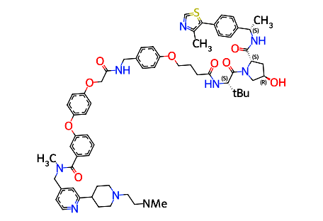 CNCCN1CCC(c2cc(CN(C)C(=O)c3cccc(Oc4ccc(OCC(=O)NCc5ccc(OCCCC(=O)N[C@H](C(=O)N6C[C@H](O)C[C@H]6C(=O)N[C@@H](C)c6ccc(-c7scnc7C)cc6)C(C)(C)C)cc5)cc4)c3)ccn2)CC1